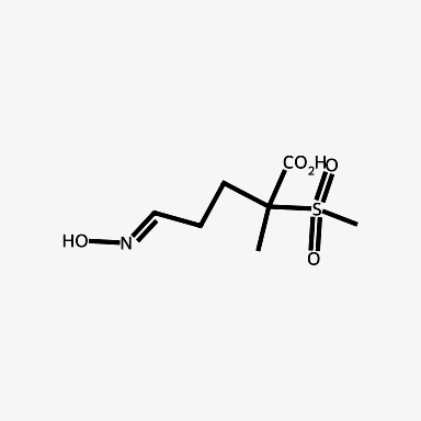 CC(CCC=NO)(C(=O)O)S(C)(=O)=O